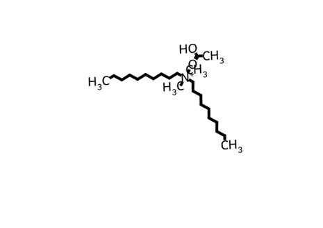 CC(=O)O.CCCCCCCCCC[N+](C)(C)CCCCCCCCCC